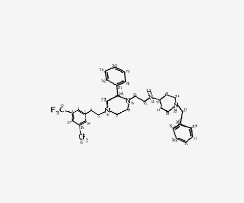 FC(F)(F)c1cc(CCN2CCN(CCNC3CCN(Cc4ccccc4)CC3)C(c3ccccc3)C2)cc(C(F)(F)F)c1